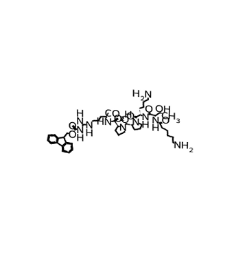 C[C@@H](O)[C@H](NC(=O)CCCCCN)C(=O)N[C@@H](CCCCN)C(=O)N1CCC[C@H]1C(=O)N1CCC[C@H]1C(=O)N[C@@H](CCCNC(=N)NC(=O)OCC1c2ccccc2-c2ccccc21)C(=O)O